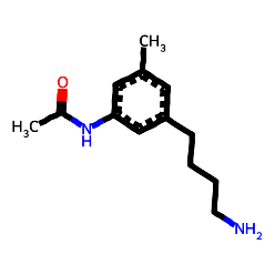 CC(=O)Nc1cc(C)cc(CCCCN)c1